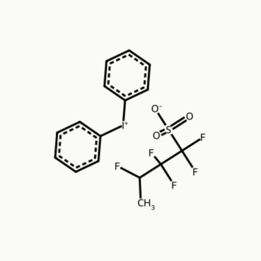 CC(F)C(F)(F)C(F)(F)S(=O)(=O)[O-].c1ccc([I+]c2ccccc2)cc1